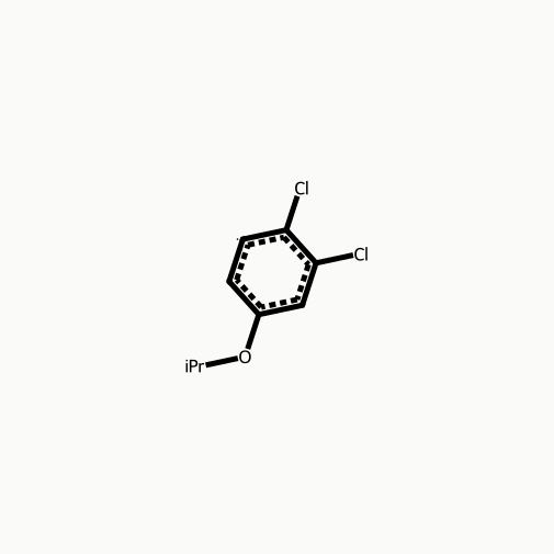 CC(C)Oc1c[c]c(Cl)c(Cl)c1